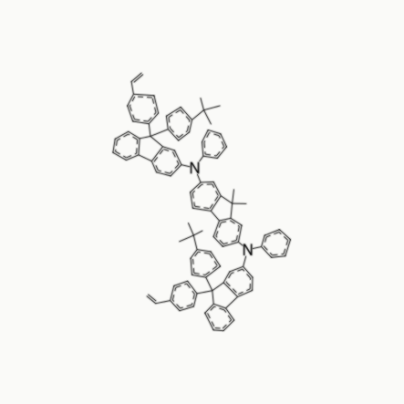 C=Cc1ccc(C2(c3ccc(C(C)(C)C)cc3)c3ccccc3-c3ccc(N(c4ccccc4)c4ccc5c(c4)C(C)(C)c4cc(N(c6ccccc6)c6ccc7c(c6)C(c6ccc(C=C)cc6)(c6ccc(C(C)(C)C)cc6)c6ccccc6-7)ccc4-5)cc32)cc1